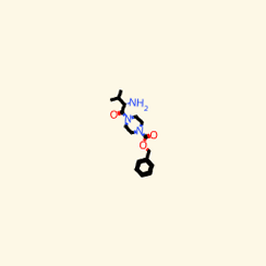 CC(C)[C@H](N)C(=O)N1CCN(C(=O)OCc2ccccc2)CC1